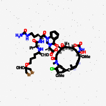 COc1cc2cc(c1Cl)N(C)C(=O)C[C@H](OC(=O)[C@H](C)N(C)C(=O)c1ccccc1NC(=O)[C@H](CCCNC(N)=O)NC(=O)[C@@H](NC(C=O)CCCCOC(C=O)(CBr)CBr)C(C)C)[C@]1(C)O[C@H]1[C@H](C)[C@@H]1C[C@@](O)(NC(=O)O1)[C@H](OC)/C=C/C=C(\C)C2